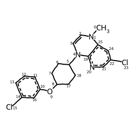 CN1C=CN(C2CCC(Oc3cccc(Cl)c3)CC2)c2ncc(Cl)cc21